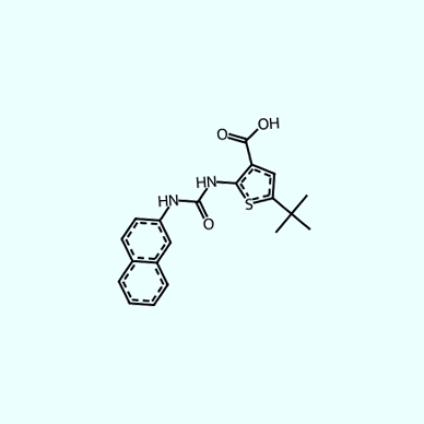 CC(C)(C)c1cc(C(=O)O)c(NC(=O)Nc2ccc3ccccc3c2)s1